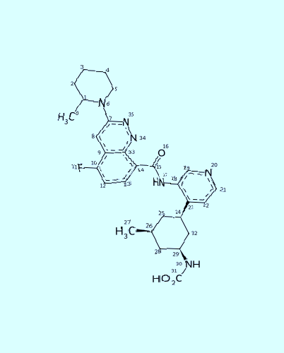 CC1CCCCN1c1cc2c(F)ccc(C(=O)Nc3cnccc3[C@@H]3C[C@H](C)C[C@H](NC(=O)O)C3)c2nn1